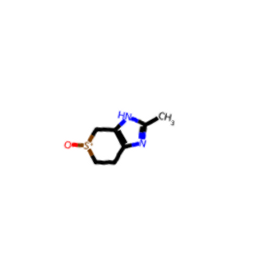 Cc1nc2c([nH]1)C[S+]([O-])CC2